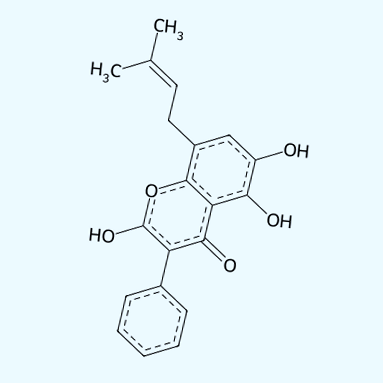 CC(C)=CCc1cc(O)c(O)c2c(=O)c(-c3ccccc3)c(O)oc12